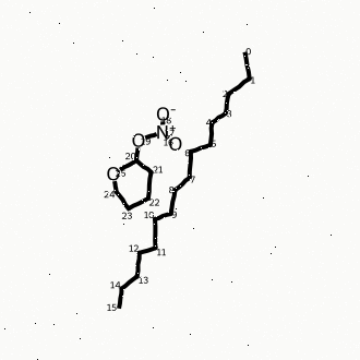 CCCCCCCCCCCCCCCC.O=[N+]([O-])OC1CCCCO1